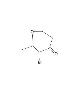 CC1OCCC(=O)C1Br